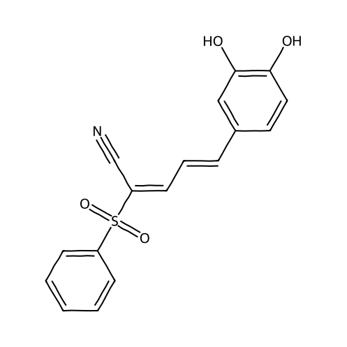 N#C/C(=C\C=C\c1ccc(O)c(O)c1)S(=O)(=O)c1ccccc1